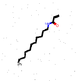 C=CC(=O)NCCCCCCCCCCC(C)C